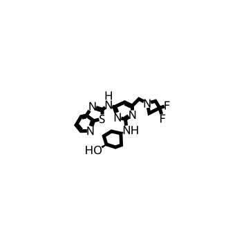 O[C@H]1CC[C@H](Nc2nc(CN3CC(F)(F)C3)cc(Nc3nc4cccnc4s3)n2)CC1